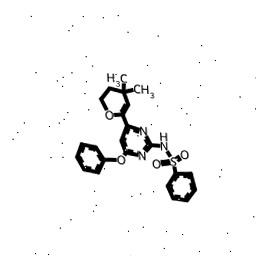 CC1(C)C=C(c2cc(Oc3ccccc3)nc(NS(=O)(=O)c3ccccc3)n2)OCC1